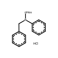 CCCCCCN(Cc1ccccc1)c1ccccc1.Cl